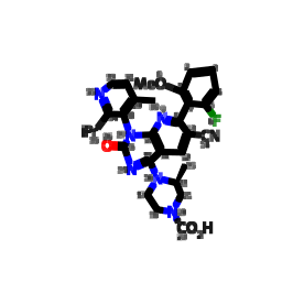 COc1cccc(F)c1-c1nc2c(cc1C#N)c(N1CCN(C(=O)O)C[C@@H]1C)nc(=O)n2-c1c(C)ccnc1C(C)C